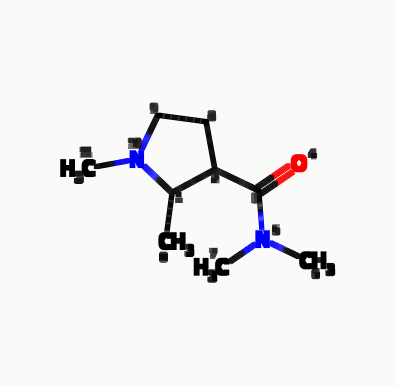 CC1C(C(=O)N(C)C)CCN1C